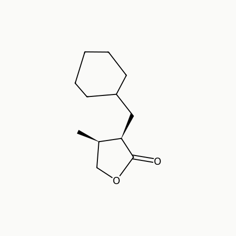 C[C@@H]1COC(=O)[C@@H]1CC1CCCCC1